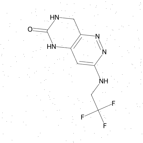 O=C1NCc2nnc(NCC(F)(F)F)cc2N1